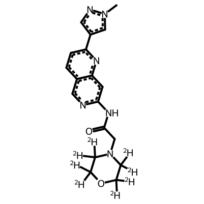 [2H]C1([2H])OC([2H])([2H])C([2H])([2H])N(CC(=O)Nc2cc3nc(-c4cnn(C)c4)ccc3cn2)C1([2H])[2H]